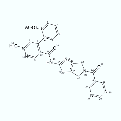 COc1ccccc1-c1cc(C)ncc1C(=O)Nc1nc2c(s1)CN(C(=O)c1cncnc1)C2